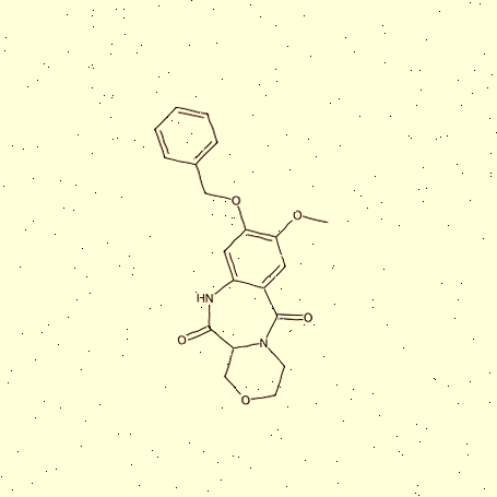 COc1cc2c(cc1OCc1ccccc1)NC(=O)C1COCCN1C2=O